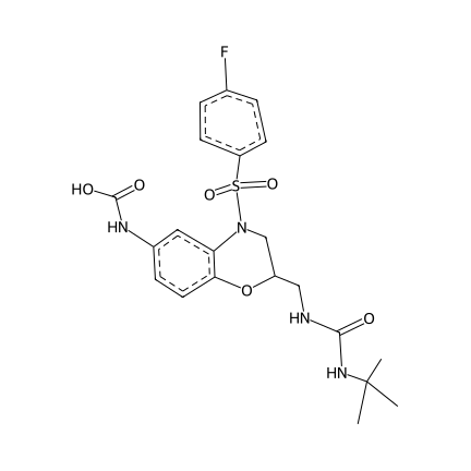 CC(C)(C)NC(=O)NCC1CN(S(=O)(=O)c2ccc(F)cc2)c2cc(NC(=O)O)ccc2O1